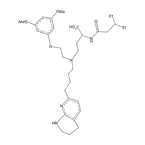 CCC(CC)CC(=O)NC(CCN(CCCCc1ccc2c(n1)NCCC2)CCOc1cc(OC)cc(OC)c1)C(=O)O